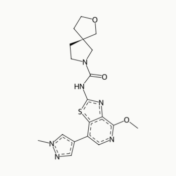 COc1ncc(-c2cnn(C)c2)c2sc(NC(=O)N3CC[C@]4(CCOC4)C3)nc12